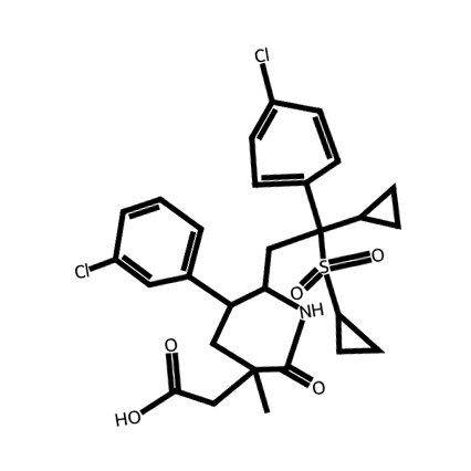 CC1(CC(=O)O)CC(c2cccc(Cl)c2)C(CC(c2ccc(Cl)cc2)(C2CC2)S(=O)(=O)C2CC2)NC1=O